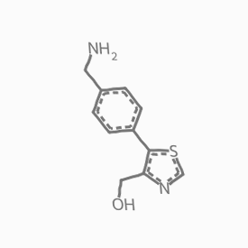 NCc1ccc(-c2scnc2CO)cc1